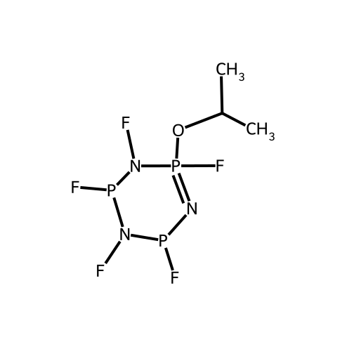 CC(C)OP1(F)=NP(F)N(F)P(F)N1F